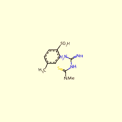 CNC(=S)NC(=N)N.Cc1ccc(S(=O)(=O)O)cc1